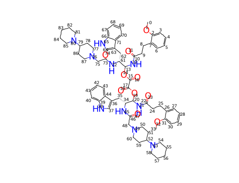 COc1ccccc1CCC(=O)NC(OC(=O)C(=O)OC(NC(=O)CCc1ccccc1OC)[C@@H](Cc1c[nH]c2ccccc12)NC(=O)CN1CCC(N2CCCCC2)CC1)[C@@H](Cc1c[nH]c2ccccc12)NC(=O)CN1CCC(N2CCCCC2)CC1